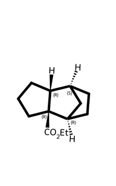 CCOC(=O)[C@@]12CCC[C@@H]1[C@H]1CC[C@@H]2C1